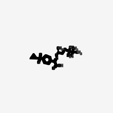 C[C@H](CO[Si](C)(C)C(C)(C)C)O/N=C(/C(=O)O)c1ccc(S(=O)(=O)C2CC2)cc1